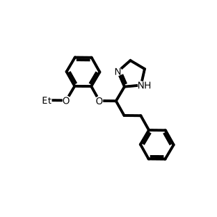 CCOc1ccccc1OC(CCc1ccccc1)C1=NCCN1